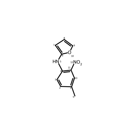 Cc1ccc(Nc2ccco2)c([N+](=O)[O-])c1